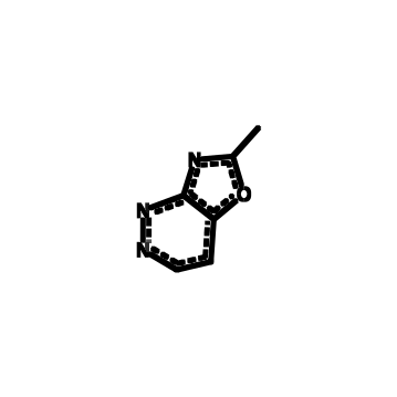 Cc1nc2nnccc2o1